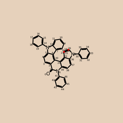 O=c1c2ccc3c(c4ccccc4n3-c3ccccc3)c2c2c3c4ccccc4n(-c4ccccc4)c3ccc2n1-c1ccccc1